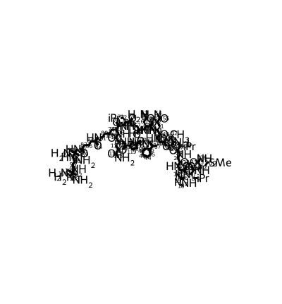 CSCC[C@H](NC(=O)[C@H](CC(C)C)NC(=O)[C@H](Cc1c[nH]cn1)NC(=O)CNC(=O)[C@@H](NC(=O)[C@H](C)NC(=O)[C@H](Cc1c[nH]c2ccccc12)NC(=O)[C@H](CCC(N)=O)NC(=O)[C@H](CC(N)=O)NC(=O)CNC(=O)[C@H](CC(C)C)NC(=O)[C@H](CCCCNC(=O)CCCC(=O)NC(CN)(CN)NCCNC(N)(CN)CN)NC(=O)[C@H](CCC(N)=O)NC(=O)[C@@H]1CCC(=O)N1)C(C)C)C(N)=O